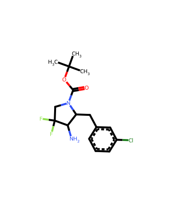 CC(C)(C)OC(=O)N1CC(F)(F)C(N)C1Cc1cccc(Cl)c1